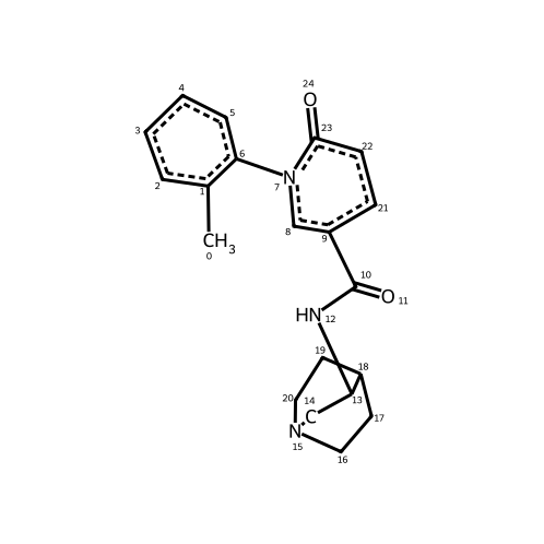 Cc1ccccc1-n1cc(C(=O)NC2CN3CCC2CC3)ccc1=O